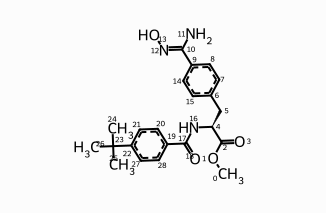 COC(=O)[C@H](Cc1ccc(/C(N)=N/O)cc1)NC(=O)c1ccc(C(C)(C)C)cc1